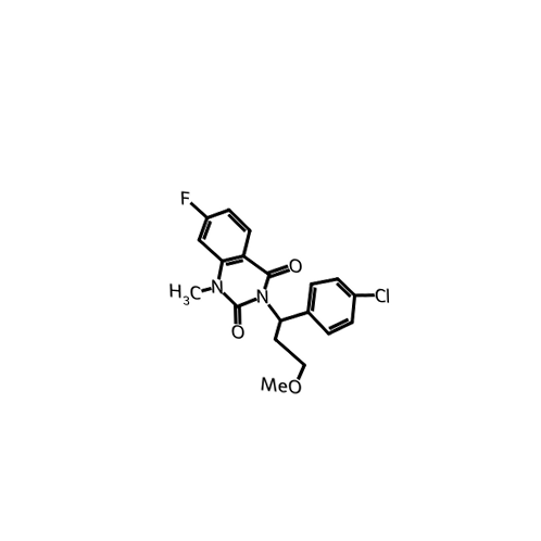 COCCC(c1ccc(Cl)cc1)n1c(=O)c2ccc(F)cc2n(C)c1=O